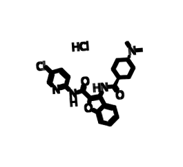 CN(C)[C@H]1CC[C@H](C(=O)Nc2c(C(=O)Nc3ccc(Cl)cn3)oc3ccccc23)CC1.Cl